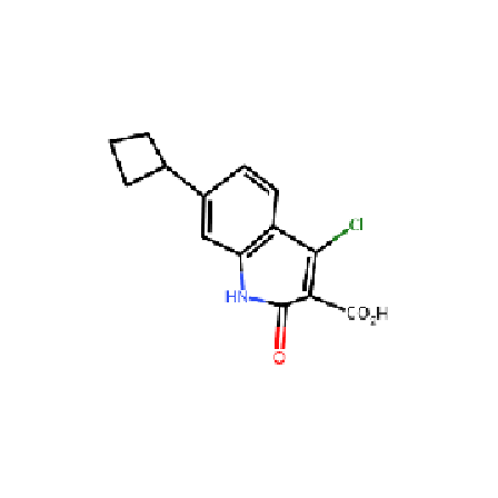 O=C(O)c1c(Cl)c2ccc(C3CCC3)cc2[nH]c1=O